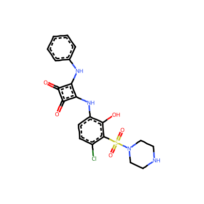 O=c1c(Nc2ccccc2)c(Nc2ccc(Cl)c(S(=O)(=O)N3CCNCC3)c2O)c1=O